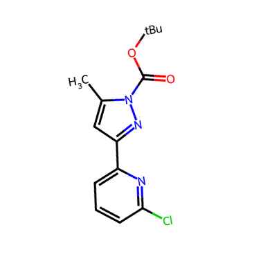 Cc1cc(-c2cccc(Cl)n2)nn1C(=O)OC(C)(C)C